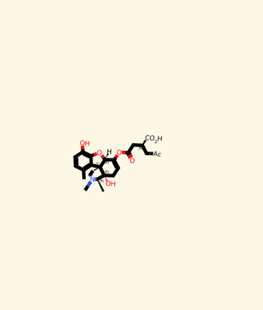 CC(=O)C[C@@H](CC(=O)OC1=CC[C@@]2(O)[C@@H](C)N(C)CC[C@@]23c2c(C)ccc(O)c2O[C@@H]13)C(=O)O